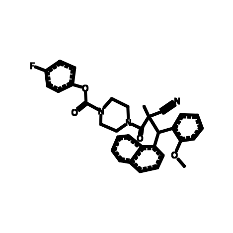 COc1ccccc1C(c1cccc2ccccc12)C(C)(C#N)C(=O)N1CCN(C(=O)Oc2ccc(F)cc2)CC1